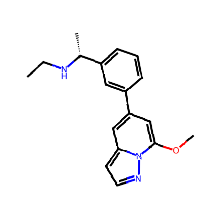 CCN[C@H](C)c1cccc(-c2cc(OC)n3nccc3c2)c1